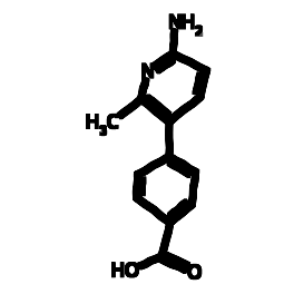 Cc1nc(N)ccc1-c1ccc(C(=O)O)cc1